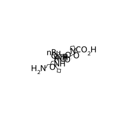 CCCC[C@@H](CP(=O)(O)O[C@@H](C)C(=O)N1CCC[C@H]1C(=O)O)NC(=O)[C@H](CCCCN)NC(=O)C1CCC1